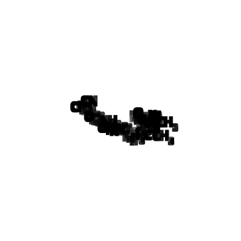 Cc1sc2c(c1C)C(c1ccc(C3C[C@@H]3CC3CCCN(c4ccc(C(=O)N[C@H]5CC[C@H](Oc6ccc(C#N)c(Cl)c6)CC5)nn4)C3)cc1)=N[C@@H](Cc1ncco1)c1nnc(C)n1-2